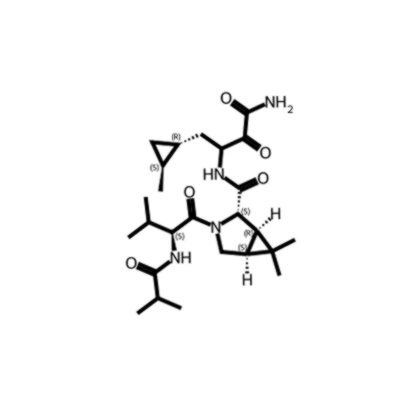 CC(C)C(=O)N[C@H](C(=O)N1C[C@H]2[C@@H]([C@H]1C(=O)NC(C[C@H]1C[C@@H]1C)C(=O)C(N)=O)C2(C)C)C(C)C